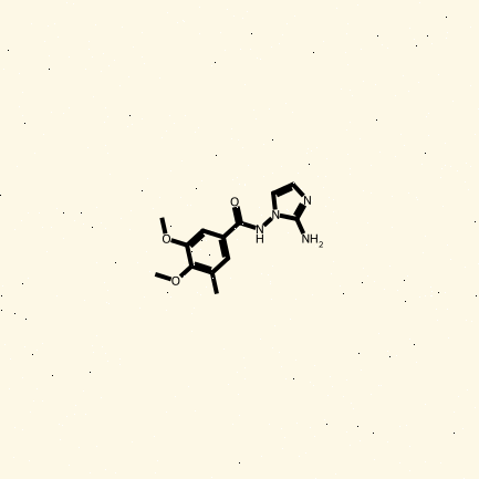 COc1cc(C(=O)Nn2ccnc2N)cc(C)c1OC